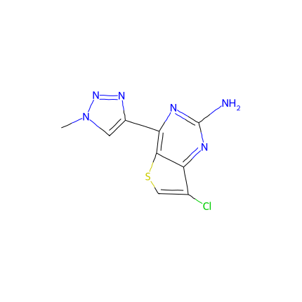 Cn1cc(-c2nc(N)nc3c(Cl)csc23)nn1